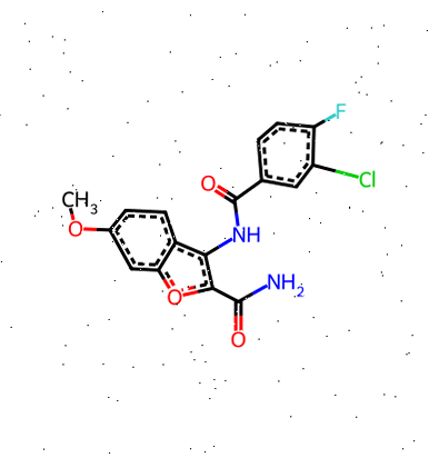 COc1ccc2c(NC(=O)c3ccc(F)c(Cl)c3)c(C(N)=O)oc2c1